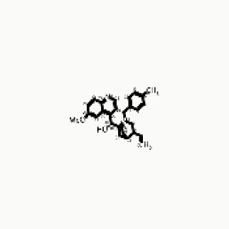 C=CC1C[N+]2(Cc3ccc(C)cc3)CCC1CC2[C@H](O)c1ccnc2ccc(OC)cc12